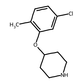 Cc1ccc(Cl)cc1OC1CCNCC1